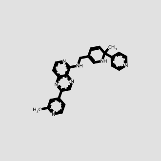 Cc1cc(-c2cnc3c(NCC4=CNC(C)(c5ccncc5)C=C4)nccc3n2)ccn1